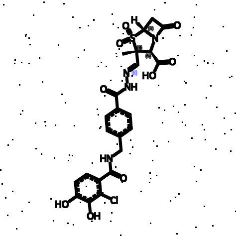 C[C@]1(/C=N/NC(=O)c2ccc(CNC(=O)c3ccc(O)c(O)c3Cl)cc2)[C@H](C(=O)O)N2C(=O)C[C@H]2S1(=O)=O